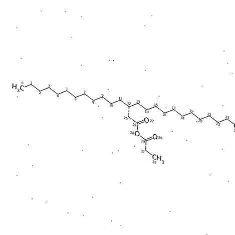 CCCCCCCCCCCCC(CCCCCCCCCCCC)CC(=O)OC(=O)CC